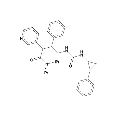 CC(C)N(C(=O)C(c1cccnc1)C(CNC(=O)NC1CC1c1ccccc1)c1ccccc1)C(C)C